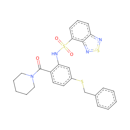 O=C(c1ccc(SCc2ccccc2)cc1NS(=O)(=O)c1cccc2nsnc12)N1CCCCC1